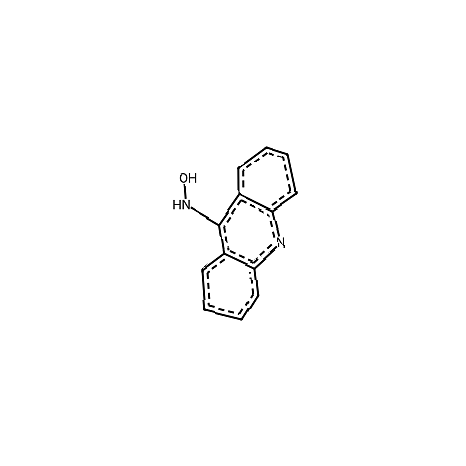 ONc1c2ccccc2nc2ccccc12